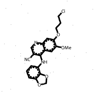 COc1cc2c(Nc3cccc4c3OCO4)c(C#N)cnc2cc1OCCCCl